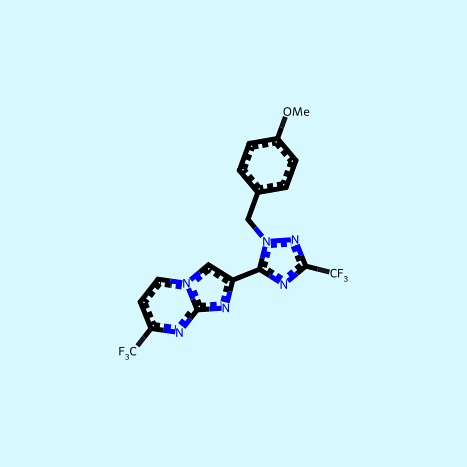 COc1ccc(Cn2nc(C(F)(F)F)nc2-c2cn3ccc(C(F)(F)F)nc3n2)cc1